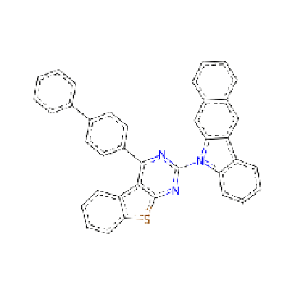 c1ccc(-c2ccc(-c3nc(-n4c5ccccc5c5cc6ccccc6cc54)nc4sc5ccccc5c34)cc2)cc1